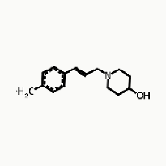 [CH2]c1ccc(/C=C/CN2CCC(O)CC2)cc1